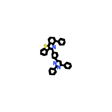 c1ccc(-c2cc(-c3ccc(-c4nc5c(-c6ccccc6)cccc5c5sc6ccccc6c45)cc3)nc(-c3ccccc3)n2)cc1